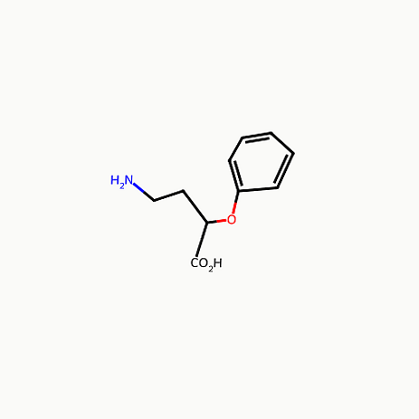 NCCC(Oc1ccccc1)C(=O)O